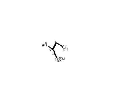 CC(C)C(CC(C)(C)C)CC(F)(F)F